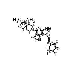 C[C@@H]1OCC2(CCN(c3nc4[nH]nc(C#Cc5cc(F)c(F)c(F)c5F)c4c4nccn34)CC2)[C@@H]1N